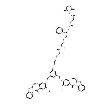 COc1cc2c(cc1OCc1cc(COc3cc4c(cc3OC)C(=O)N3c5ccccc5C[C@H]3C=N4)cc(OCCOCCC(=O)NCCCC/C(=N/NC(=O)CCC(=O)ON3C(=O)CCC3=O)c3ccccc3)c1)N=C[C@@H]1Cc3ccccc3N1C2=O